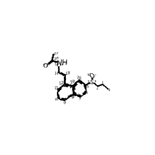 CCC[S+]([O-])c1ccc2cccc(CCNC(C)=O)c2c1